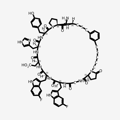 NC1=C[C@@]23CCCN2C(=O)[C@H](Cc2ccc(O)cc2)NC(=O)[C@H](Cc2c[nH]cn2)NC(=O)[C@H](CC(=O)O)NC(=O)[C@H](Cc2c[nH]c4ccc(F)cc24)NC(=O)[C@H](Cc2c[nH]c4ccc(F)cc24)NC(=O)CNC(=O)[C@@H]2CCC(=O)N2CCCSCc2cccc(c2)CSC[C@@H]1NC3=O